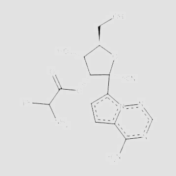 CC(C)C(N)C(=O)O[C@@H]1[C@H](O)[C@@H](CO)O[C@@]1(C#N)c1ccc2c(N)ncnn12